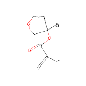 C=C(C)C(=O)OC1(CC)CCOC1